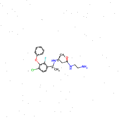 C[C@@H](CC(=O)NCCN)N[C@H](C)c1ccc(Cl)c(Oc2ccccc2)c1F